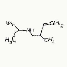 C=CC(C)CNC(C)C(C)C